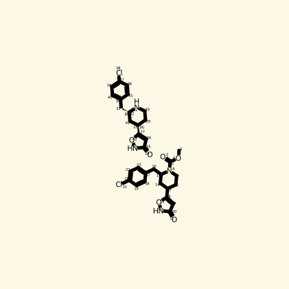 COC(=O)N1CCC(c2cc(=O)[nH]o2)CC1Cc1ccc(Cl)cc1.O=c1cc([C@@H]2CCN[C@@H](Cc3ccc(Cl)cc3)C2)o[nH]1